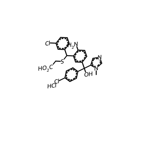 Cl.Cn1cncc1C(O)(c1ccc(Cl)cc1)c1ccc(N)c(C(SCC(=O)O)c2cccc(Cl)c2)c1